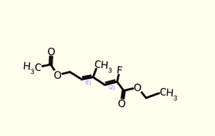 CCOC(=O)/C(F)=C/C(C)=C/COC(C)=O